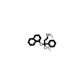 CC(CCN)(Oc1cccc2ccccc12)c1ccccc1